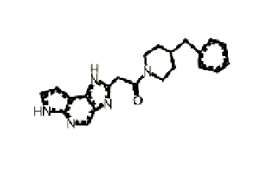 O=C(Cc1nc2cnc3[nH]ccc3c2[nH]1)N1CCC(Cc2ccccc2)CC1